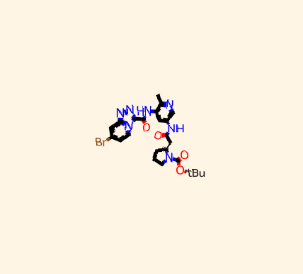 Cc1ncc(NC(=O)C[C@@H]2CCCN2C(=O)OC(C)(C)C)cc1NC(=O)c1nnc2cc(Br)ccn12